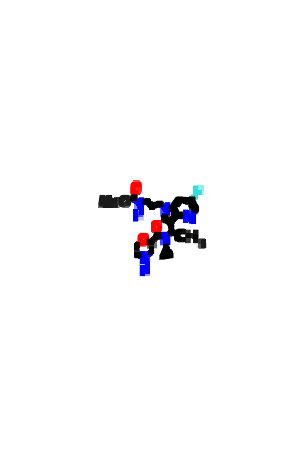 COC(=O)NCCCn1cc(C(C)N(C(=O)[C@H]2CNCCO2)C2CC2)c2ncc(F)cc21